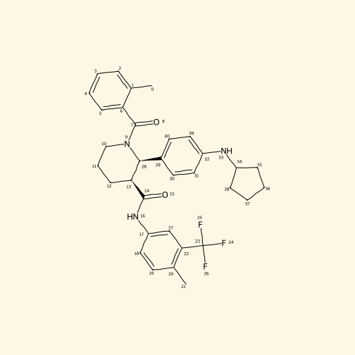 Cc1ccccc1C(=O)N1CCC[C@H](C(=O)Nc2ccc(C)c(C(F)(F)F)c2)[C@@H]1c1ccc(NC2CCCC2)cc1